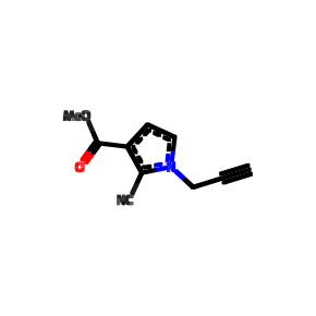 C#CCn1ccc(C(=O)OC)c1C#N